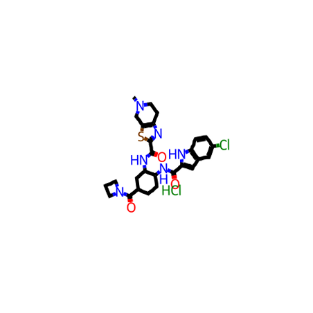 CN1CCc2nc(C(=O)NC3CC(C(=O)N4CCC4)CCC3NC(=O)c3cc4cc(Cl)ccc4[nH]3)sc2C1.Cl